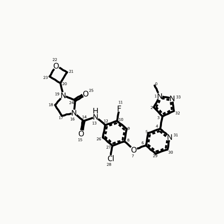 Cn1cc(-c2cc(Oc3cc(F)c(NC(=O)N4CCN(C5COC5)C4=O)cc3Cl)ccn2)cn1